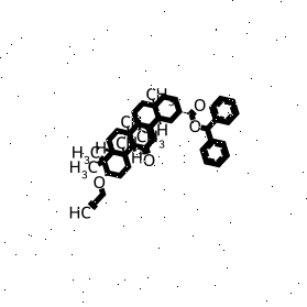 C#CCO[C@H]1CC[C@]2(C)[C@H]3C(=O)C=C4[C@@H]5C[C@@H](C(=O)OC(c6ccccc6)c6ccccc6)CC[C@]5(C)CC[C@@]4(C)[C@]3(C)CC[C@H]2C1(C)C